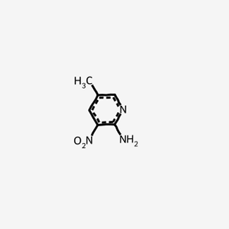 Cc1cnc(N)c([N+](=O)[O-])c1